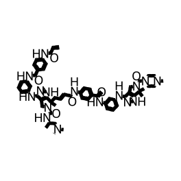 C=CC(=O)Nc1ccc(C(=O)Nc2cccc(Nc3n[nH]c4c3CN(C(=O)NC(C)CN(C)C)C4(C)C/C=C/C(=O)Nc3ccc(C(=O)Nc4cccc(Nc5n[nH]c6c5CN(C(=O)N5CCN(C)CC5)C6(C)C)c4)cc3)c2)cc1